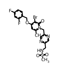 Cc1cc(OCc2ccc(F)cc2F)c(Br)c(=O)n1Cc1cnc(CNS(C)(=O)=O)cn1